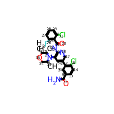 C[C@H]1CN(c2cc(-c3cc(C(N)=O)ccc3Cl)cnc2N(C)C(=O)c2c(F)cccc2Cl)[C@@H](C)CO1